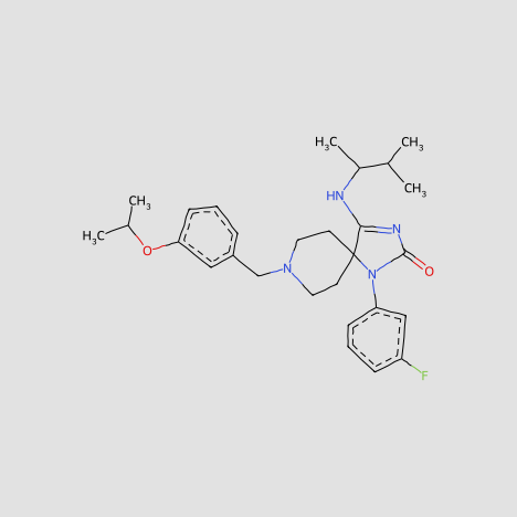 CC(C)Oc1cccc(CN2CCC3(CC2)C(NC(C)C(C)C)=NC(=O)N3c2cccc(F)c2)c1